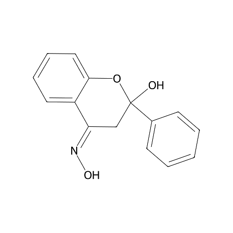 O/N=C1\CC(O)(c2ccccc2)Oc2ccccc21